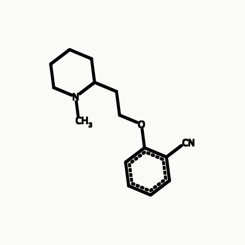 CN1CCCCC1CCOc1ccccc1C#N